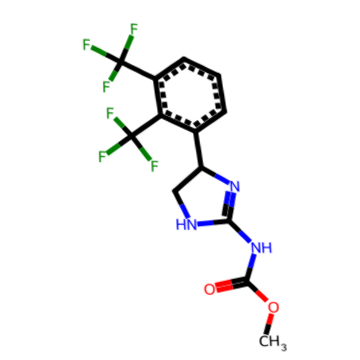 COC(=O)NC1=NC(c2cccc(C(F)(F)F)c2C(F)(F)F)CN1